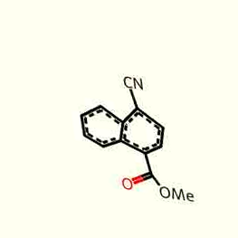 COC(=O)c1ccc(C#N)c2ccccc12